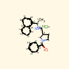 C[C@@H](NCC1CCN(C(=O)c2ccccc2)C1)c1cccc2ccccc12.Cl